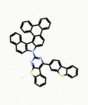 c1ccc2c(c1)ccc1c2c2c3c4ccccc4c4ccccc4c3ccc2n1-c1nc(-c2ccc3c(c2)sc2ccccc23)c2c(n1)sc1ccccc12